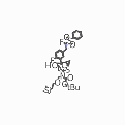 CC(C)(C)OC(=O)N(COCC[Si](C)(C)C)C1=NC(C)(c2cc(/C=C(\F)S(=O)(=O)c3ccccc3)ccc2F)C2CC2(C(=O)O)S1